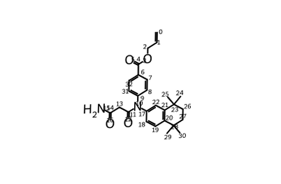 C=CCOC(=O)c1ccc(N(C(=O)CC(N)=O)c2ccc3c(c2)C(C)(C)CCC3(C)C)cc1